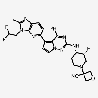 [2H]c1nc(N[C@H]2CCN(C3(C#N)COC3)C[C@H]2F)nn2ccc(-c3ccc4nc(C)n(CC(F)F)c4n3)c12